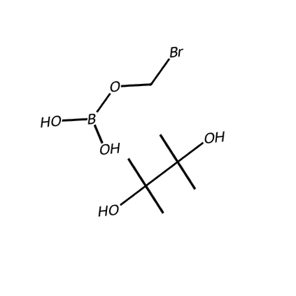 CC(C)(O)C(C)(C)O.OB(O)OCBr